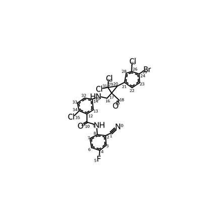 N#Cc1cc(F)ccc1NC(=O)c1cc(NCC2(C=O)C(c3ccc(Br)c(Cl)c3)C2(Cl)Cl)ccc1Cl